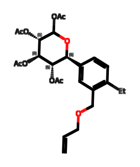 C=CCOCc1cc([C@@H]2OC(OC(C)=O)[C@@H](OC(C)=O)[C@H](OC(C)=O)[C@H]2OC(C)=O)ccc1CC